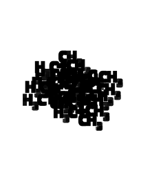 C=C([SiH3])C(C)(N([Si](C)(C)C(C)(C)C)[Si](C)(C)C(C)(C)C)N([Si](C)(C)C(C)(C)C)[Si](C)(C)C(C)(C)C